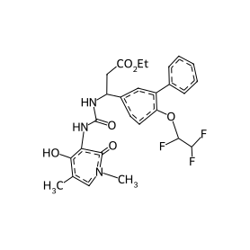 CCOC(=O)CC(NC(=O)Nc1c(O)c(C)cn(C)c1=O)c1ccc(OC(F)C(F)F)c(-c2ccccc2)c1